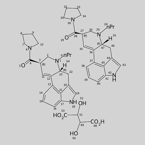 CCCN1C[C@H](C(=O)N2CCCC2)C=C2c3cccc4[nH]cc(c34)C[C@H]21.CCCN1C[C@H](C(=O)N2CCCC2)C=C2c3cccc4[nH]cc(c34)C[C@H]21.O=C(O)C(O)C(O)C(=O)O